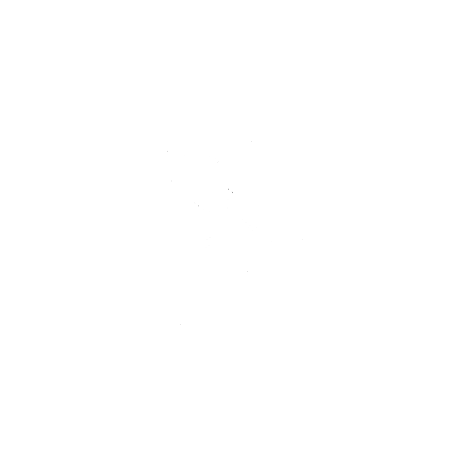 CCCOCC#Cc1nc(C(=O)OC)c(C(=O)OC)nc1C#CC(C)OC